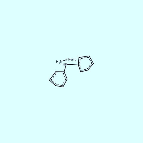 CCCCCN.c1ccc(Pc2ccccc2)cc1